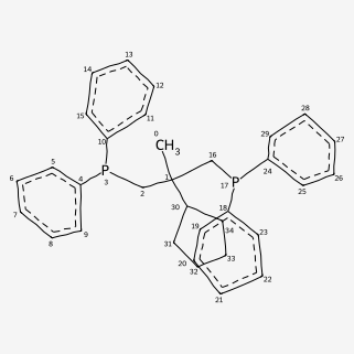 CC(CP(c1ccccc1)c1ccccc1)(CP(c1ccccc1)c1ccccc1)C1CCCC1